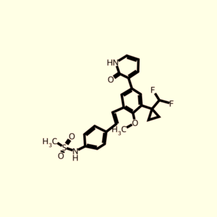 COc1c(/C=C/c2ccc(NS(C)(=O)=O)cc2)cc(-c2ccc[nH]c2=O)cc1C1(C(F)F)CC1